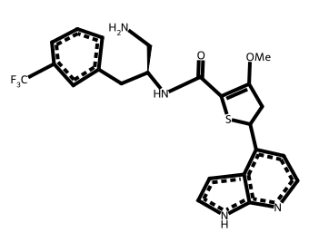 COC1=C(C(=O)N[C@H](CN)Cc2cccc(C(F)(F)F)c2)SC(c2ccnc3[nH]ccc23)C1